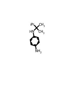 CC(C)C(C)(C)Nc1ccc(N)cc1